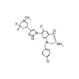 CN1CC(C2=CN(c3cc4c(cc3F)[S+]([O-])C[C@H](N)CN4Cc3ccc(Cl)cc3)NO2)CC(F)(F)C1